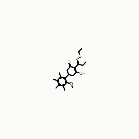 CCON=C(CC)C1=C(O)CC(c2c(C)c(C)c(C)c(C)c2OC)CC1=O